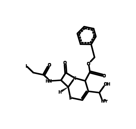 CCCC(O)C1=CS[C@H]2C(NC(=O)CI)C(=O)N2C1C(=O)OCc1ccccc1